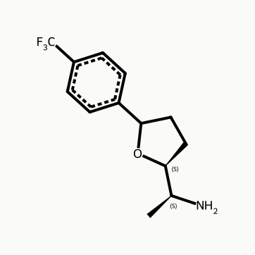 C[C@H](N)[C@@H]1CCC(c2ccc(C(F)(F)F)cc2)O1